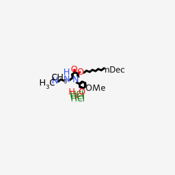 CCCCCCCCCCCCCCCCCCOc1cn(Cc2ccc(OC)cc2)c(CNCCCN(C)C)cc1=O.Cl.Cl.Cl.O